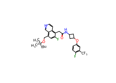 CC(C)(C)[Si](C)(C)OCc1cc(F)c(CC(=O)NC2CC(Oc3ccc(F)c(C(F)(F)F)c3)C2)c2ccncc12